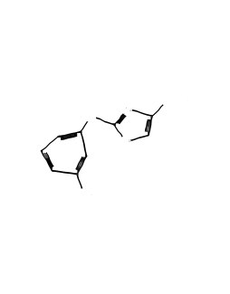 CC(C)(C)c1cccc(Oc2nc(C(=O)O)co2)c1